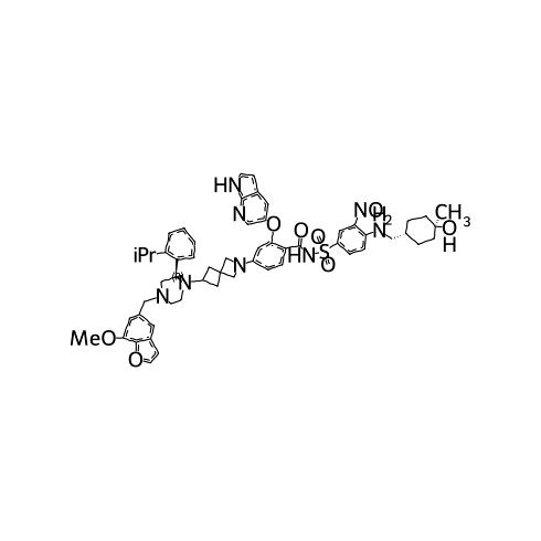 COc1cc(CN2CCN(C3CC4(C3)CN(c3ccc(C(=O)NS(=O)(=O)c5ccc(NC[C@H]6CC[C@](C)(O)CC6)c([N+](=O)[O-])c5)c(Oc5cnc6[nH]ccc6c5)c3)C4)[C@H](c3ccccc3C(C)C)C2)cc2ccoc12